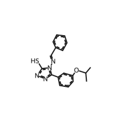 CC(C)Oc1cccc(-c2nnc(S)n2N=Cc2ccccc2)c1